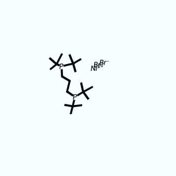 CC(C)(C)P(CCCP(C(C)(C)C)C(C)(C)C)C(C)(C)C.[Br-].[Br-].[Ni+2]